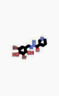 O=C(N/N=C/c1cc(Br)c(O)c(Br)c1O)c1cccnc1